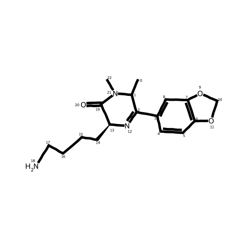 CC1C(c2ccc3c(c2)OCO3)=N[C@@H](CCCCN)C(=O)N1C